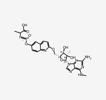 CNc1nc(N)nc2c1ncn2[C@@H]1O[C@H](COc2ccc3cc(O/[P+]([O-])=N/C(C)C(=O)O)ccc3n2)[C@@H](O)[C@@]1(C)O